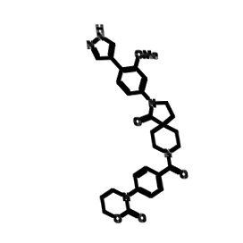 COc1cc(N2CCC3(CCN(C(=O)c4ccc(N5CCCOC5=O)cc4)CC3)C2=O)ccc1-c1cn[nH]c1